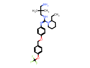 CCC1CCCCN1/C(=N\c1ccc(OCc2ccc(OC(F)(F)F)cc2)cc1)NCC(C)(C)CN